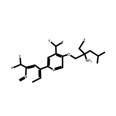 C=N/C(=C\C(=C/C)c1cc(C(F)F)c(OCC(N)(CF)CC(C)C)cn1)C(F)F